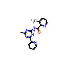 Cc1nc(NC(=O)c2ncccc2C(F)(F)F)nc(-c2ccccn2)n1